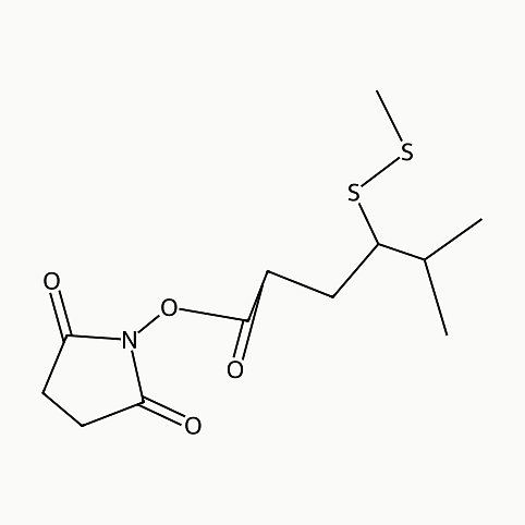 CSSC(CCC(=O)ON1C(=O)CCC1=O)C(C)C